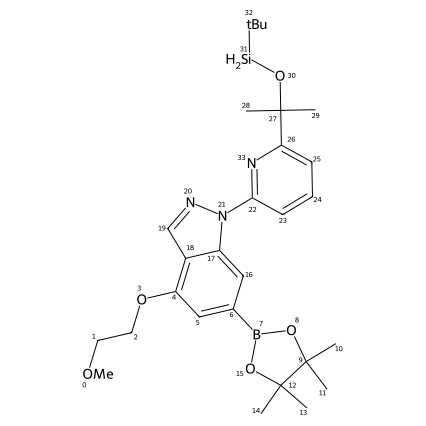 COCCOc1cc(B2OC(C)(C)C(C)(C)O2)cc2c1cnn2-c1cccc(C(C)(C)O[SiH2]C(C)(C)C)n1